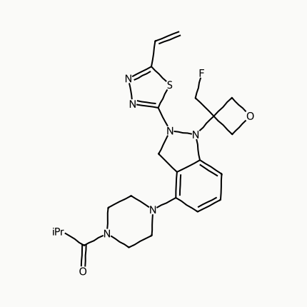 C=Cc1nnc(N2Cc3c(N4CCN(C(=O)C(C)C)CC4)cccc3N2C2(CF)COC2)s1